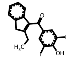 CCC1=C(C(=O)c2cc(I)c(O)c(I)c2)c2ccccc2C1